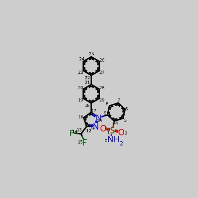 NS(=O)(=O)c1ccccc1-n1nc(C(F)F)cc1-c1ccc(-c2ccccc2)cc1